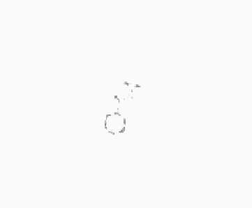 CC(C)(C)S(=O)(=O)NC(=O)c1cc[c]cc1